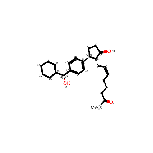 COC(=O)CCC/C=C\C[C@H]1C(=O)CC[C@@H]1c1ccc([C@H](O)C2CCCCC2)cc1